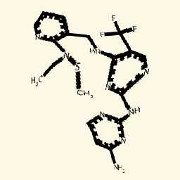 CSN(C)c1ncccc1CNc1nc(Nc2nccc(N)n2)ncc1C(F)(F)F